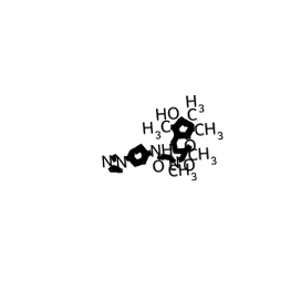 Cc1c(C)c2c(c(C)c1O)CCC(C)(C(=O)N(C)CC(=O)Nc1ccc(-n3ccnc3)cc1)O2